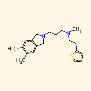 Cc1cc2c(cc1C)CN(CCCN(C)CCc1cccs1)C2